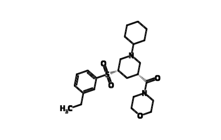 CCc1cccc(S(=O)(=O)[C@H]2C[C@@H](C(=O)N3CCOCC3)CN(C3CCCCC3)C2)c1